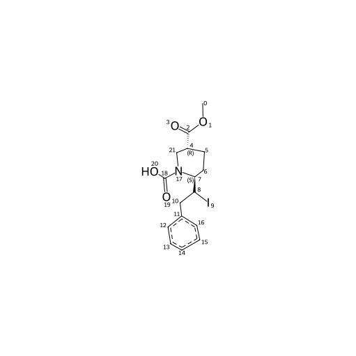 COC(=O)[C@@H]1CC[C@@H](C(I)Cc2ccccc2)N(C(=O)O)C1